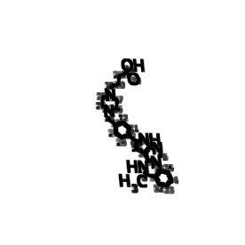 CC(Nc1ncnc2[nH]c(-c3ccc(CN4CCN(CCCC(=O)O)CC4)cc3)cc12)c1ccccc1